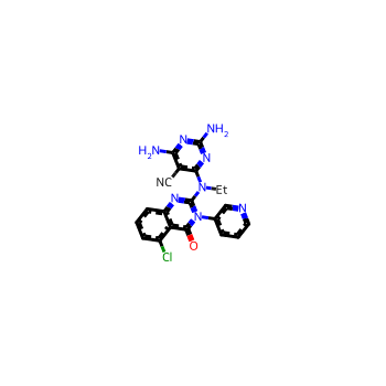 CCN(c1nc(N)nc(N)c1C#N)c1nc2cccc(Cl)c2c(=O)n1-c1cccnc1